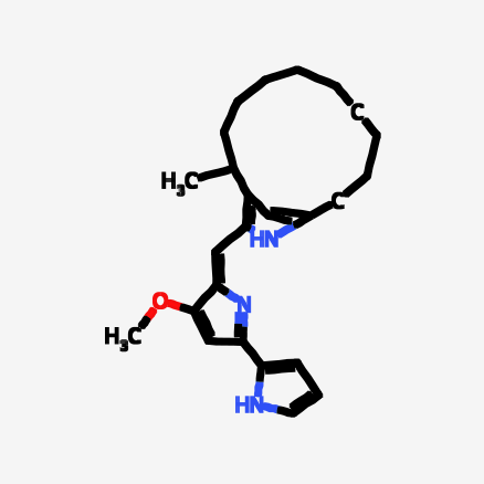 COC1=CC(c2ccc[nH]2)=NC1=Cc1[nH]c2cc1C(C)CCCCCCCCC2